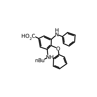 CCCCNc1cc(C(=O)O)cc(Nc2ccccc2)c1Oc1ccccc1